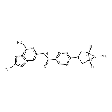 Cc1cn2cc(NC(=O)c3cnc(N4C[C@@H]5[C@H](N)[C@@H]5C4)cn3)nc(C)c2n1